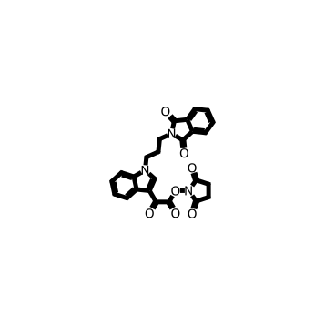 O=C(ON1C(=O)CCC1=O)C(=O)c1cn(CCCN2C(=O)c3ccccc3C2=O)c2ccccc12